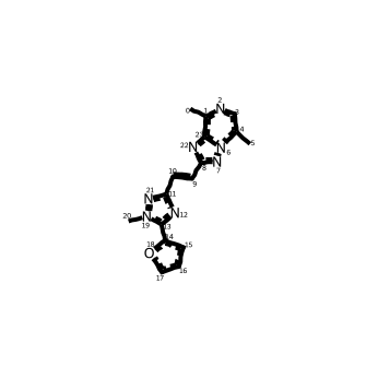 Cc1ncc(C)n2nc(/C=C/c3nc(-c4ccco4)n(C)n3)nc12